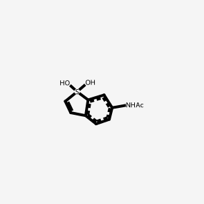 CC(=O)Nc1ccc2c(c1)S(O)(O)C=C2